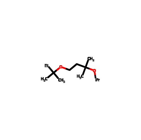 CCC(C)(C)OCCC(C)(C)OC(C)C